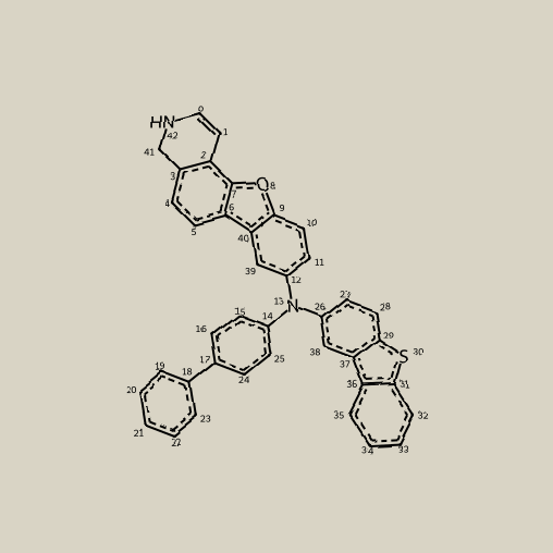 C1=Cc2c(ccc3c2oc2ccc(N(c4ccc(-c5ccccc5)cc4)c4ccc5sc6ccccc6c5c4)cc23)CN1